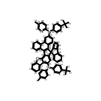 Cc1ccc(N(c2ccc(C(C)(C)C)cc2)c2cc3c(c4oc5ccccc5c24)-c2c(c4ccc(N(c5ccc(C(C)(C)C)cc5)c5ccc(C)cn5)cc4c4ccccc24)C32c3ccccc3-c3ccccc32)cc1